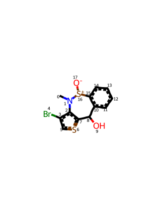 CN1c2c(Br)csc2C(O)c2ccccc2[S+]1[O-]